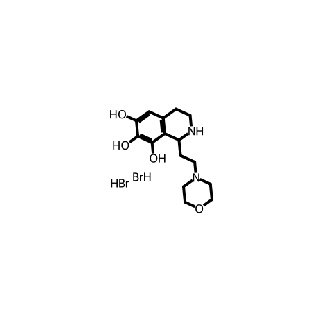 Br.Br.Oc1cc2c(c(O)c1O)C(CCN1CCOCC1)NCC2